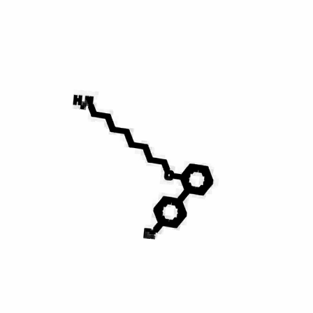 CCc1ccc(-c2ccccc2OCCCCCCCCN)cc1